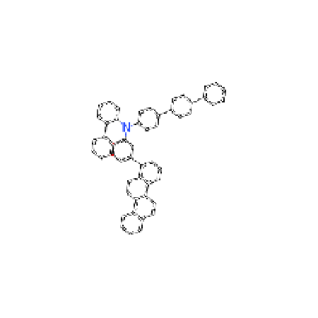 c1ccc(-c2ccc(-c3ccc(N(c4cccc(-c5cccc6c5ccc5c7ccccc7ccc65)c4)c4ccccc4-c4ccccc4)cc3)cc2)cc1